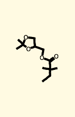 CCC(C)(C)C(=O)OCC1COC(C)(C)O1